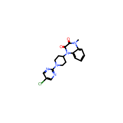 Cn1c(=O)c(=O)n(C2CCN(c3ncc(Cl)cn3)CC2)c2ccccc21